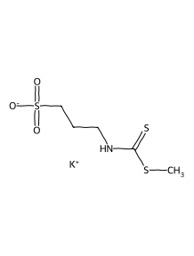 CSC(=S)NCCCS(=O)(=O)[O-].[K+]